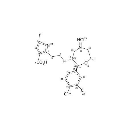 Cc1cc(C(=O)O)n(CCC[C@@H]2CNCCO[C@H]2c2ccc(Cl)c(Cl)c2)n1.Cl